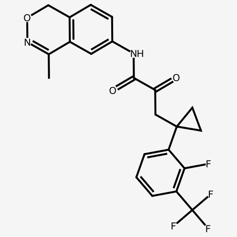 CC1=NOCc2ccc(NC(=O)C(=O)CC3(c4cccc(C(F)(F)F)c4F)CC3)cc21